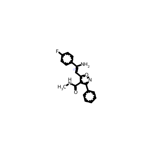 CNC(=O)c1c(-c2ccccc2)noc1/C=C(\N)c1ccc(F)cc1